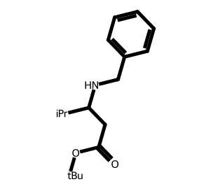 CC(C)C(CC(=O)OC(C)(C)C)NCc1ccccc1